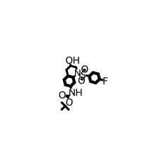 CC(C)(C)OC(=O)Nc1ccc2c(c1)N(S(=O)(=O)c1ccc(F)cc1)CC(O)C2